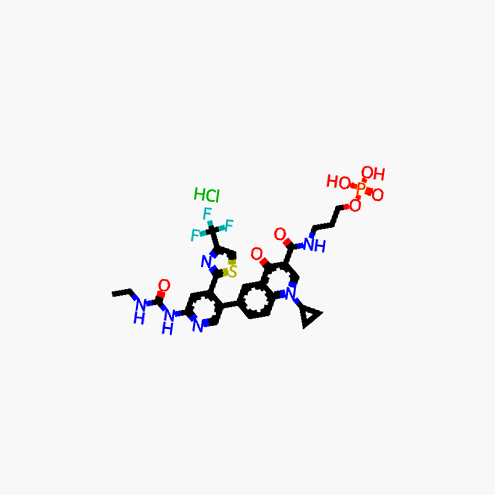 CCNC(=O)Nc1cc(-c2nc(C(F)(F)F)cs2)c(-c2ccc3c(c2)c(=O)c(C(=O)NCCCOP(=O)(O)O)cn3C2CC2)cn1.Cl